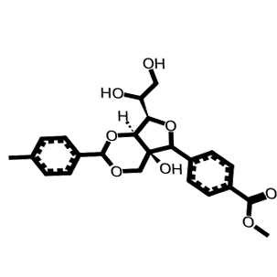 COC(=O)c1ccc(C2O[C@H](C(O)CO)[C@@H]3OC(c4ccc(C)cc4)OC[C@@]23O)cc1